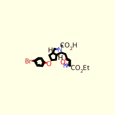 CCOC(=O)c1cc(CC2[C@H]3C[C@@H](Oc4ccc(Br)cc4)C[C@H]3CN2C(=O)O)on1